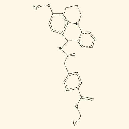 CCOC(=O)c1ccc(CC(=O)NC(c2ccc(SC)cc2)c2ccccc2N2CCCCC2)cc1